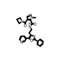 Cn1ncc(C(=O)N2CCC2)c1C(=O)NCCc1nc(-c2ccccc2)oc1-c1cccnc1